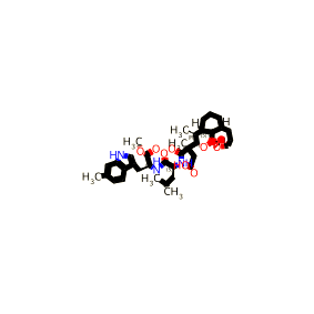 COC(=O)[C@H](Cc1c[nH]c2cc(C)ccc12)NC(=O)[C@H](CC(C)C)NC(=O)[C@](C)(CC(=O)O)[C@H]1O[C@@H]2OC3CC[C@@H]4CCC[C@@H]([C@H]1C)[C@]42OO3